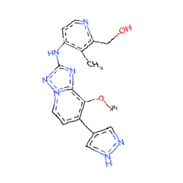 Cc1c(Nc2nc3c(OC(C)C)c(-c4cn[nH]c4)ccn3n2)ccnc1CO